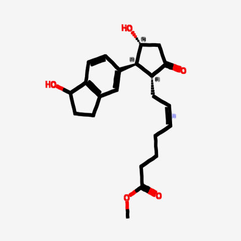 COC(=O)CCC/C=C\C[C@H]1C(=O)C[C@@H](O)[C@@H]1c1ccc2c(c1)CCC2O